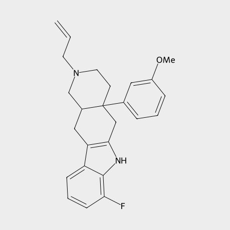 C=CCN1CCC2(c3cccc(OC)c3)Cc3[nH]c4c(F)cccc4c3CC2C1